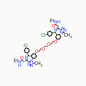 CCNC(=O)C[C@@H]1N=C(c2ccc(Cl)cc2)c2cc(OCCOCCOCCOc3ccc4c(c3)C(c3ccc(Cl)cc3)=N[C@@H](CC(=O)NCC)c3nnc(C)n3-4)ccc2-n2c(C)nnc21